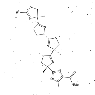 CNC(=O)c1nc([C@]2(C)CSC([C@]3(C)CSC([C@@H]4CSC([C@]5(C)CSC(C(C)C)=N5)=N4)=N3)=N2)oc1C